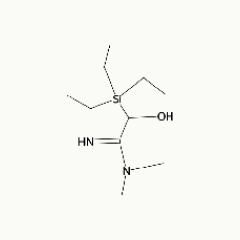 CC[Si](CC)(CC)C(O)C(=N)N(C)C